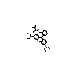 C=C(C)C(=O)OCc1ccccc1-c1c2ccc(=[N+](CC)CC)cc-2oc2cc(N(CC)CC)ccc12